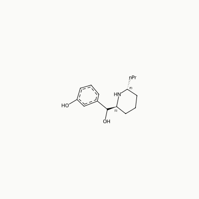 CCC[C@@H]1CCC[C@@H](C(O)c2cccc(O)c2)N1